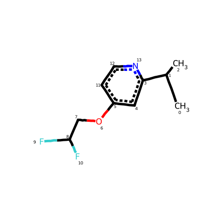 CC(C)c1cc(OCC(F)F)ccn1